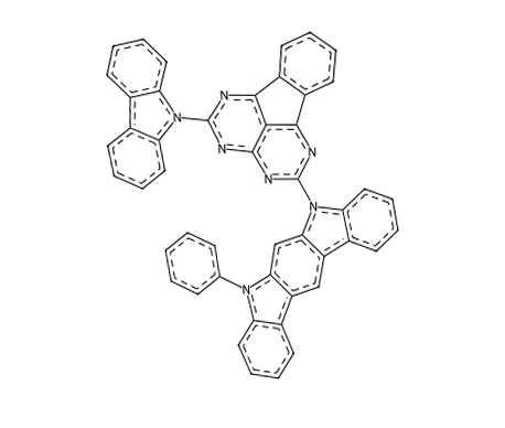 c1ccc(-n2c3ccccc3c3cc4c5ccccc5n(-c5nc6c7c(nc(-n8c9ccccc9c9ccccc98)nc7n5)-c5ccccc5-6)c4cc32)cc1